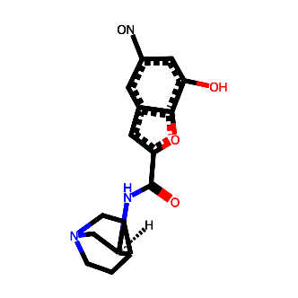 O=Nc1cc(O)c2oc(C(=O)N[C@@H]3CN4CCC3CC4)cc2c1